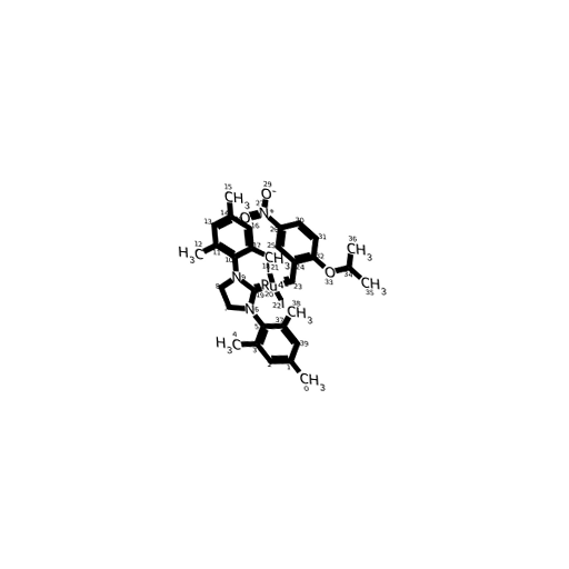 Cc1cc(C)c(N2CCN(c3c(C)cc(C)cc3C)[C]2=[Ru-4]([I])([I])=[CH]c2cc([N+](=O)[O-])ccc2OC(C)C)c(C)c1